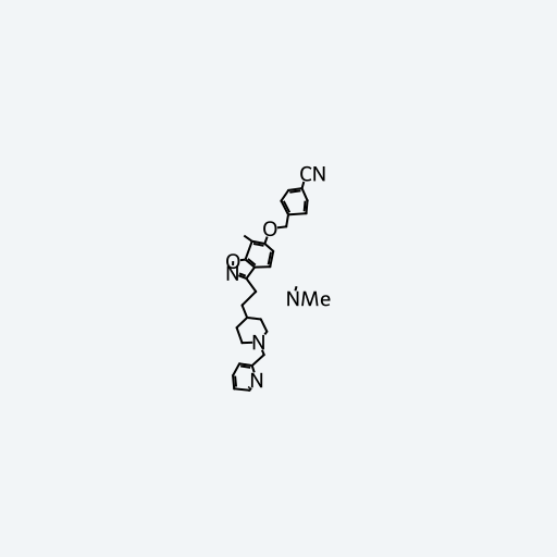 CNC.Cc1c(OCc2ccc(C#N)cc2)ccc2c(CCC3CCN(Cc4ccccn4)CC3)noc12